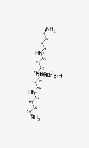 Br.Br.Br.Br.NCCCCNCCCCCCCNCCCCN